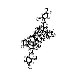 CC(C)(C1OCCO1)C(CCc1ccc(Cl)cc1Cl)(Cn1cncn1)OS(=O)(=O)c1cccc2c(S(=O)(=O)OC(CCc3ccc(Cl)cc3Cl)(Cn3cncn3)C(C)(C)C3OCCO3)cccc12